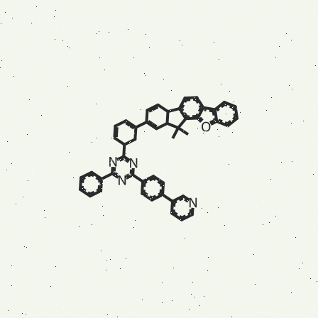 CC1(C)c2c(ccc3c2oc2ccccc23)C2C=CC(C3=CC=CC(c4nc(-c5ccccc5)nc(-c5ccc(-c6cccnc6)cc5)n4)C3)=CC21